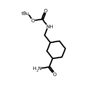 CC(C)(C)OC(=O)NCC1CCCC(C(N)=O)C1